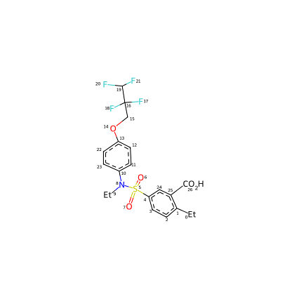 CCc1ccc(S(=O)(=O)N(CC)c2ccc(OCC(F)(F)C(F)F)cc2)cc1C(=O)O